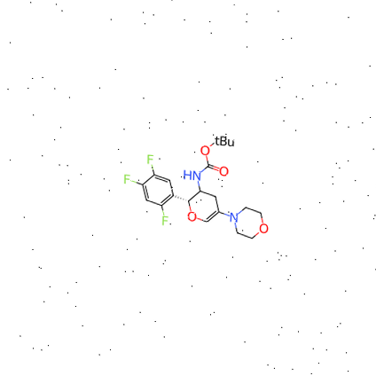 CC(C)(C)OC(=O)NC1CC(N2CCOCC2)=CO[C@@H]1c1cc(F)c(F)cc1F